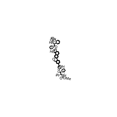 COC(=O)N[C@H](C(=O)N1[C@@H](C)CC[C@H]1c1ncc(-c2ccc3c(c2)COc2cc4c(ccc5nc([C@@H]6CCCN6C(=O)[C@H](NC(=O)OC(C)(C)C)C6C=CC=CC6)[nH]c54)cc2-3)[nH]1)C(C)C